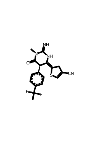 CN1C(=N)N/C(=C2\CC(C#N)=CS2)[C@@H](c2ccc(C(C)(F)F)cc2)C1=O